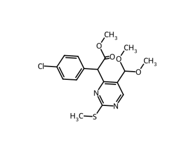 COC(=O)C(c1ccc(Cl)cc1)c1nc(SC)ncc1C(OC)OC